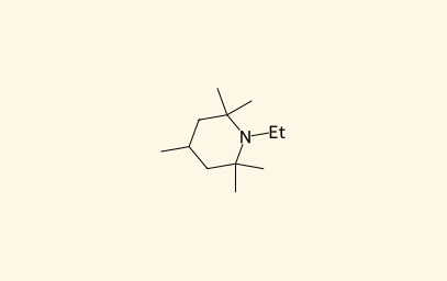 CCN1C(C)(C)CC(C)CC1(C)C